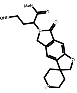 CNC(=O)C(CCC=O)N1Cc2cc3c(cc2C1=O)OCC31CCNCC1